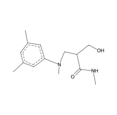 CNC(=O)C(CO)CN(C)c1cc(C)cc(C)c1